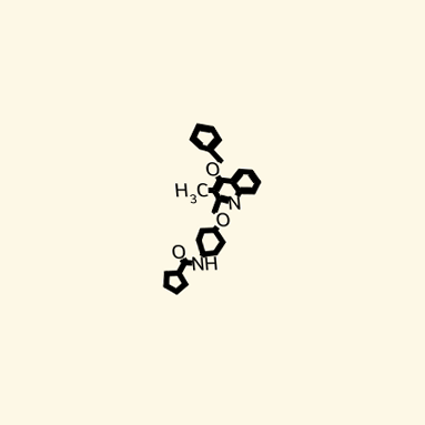 Cc1c(COC2CCC(NC(=O)C3CCCC3)CC2)nc2ccccc2c1OCc1ccccc1